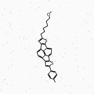 COCCCCCCc1cc2c(s1)-c1ccc3c4c(ccc-2c14)-c1cc(-c2ccc(C)cc2)sc1-3